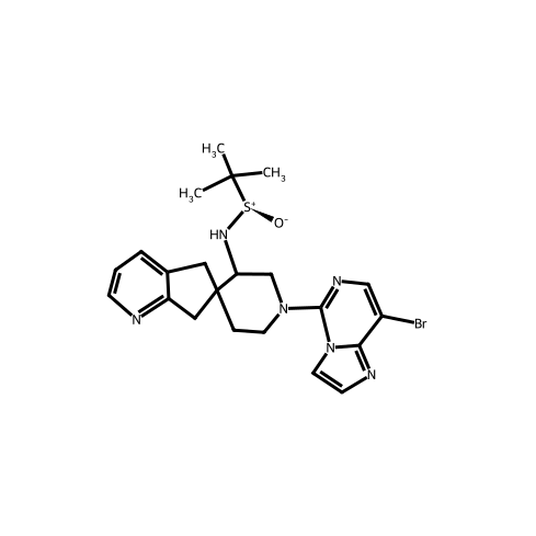 CC(C)(C)[S@@+]([O-])NC1CN(c2ncc(Br)c3nccn23)CCC12Cc1cccnc1C2